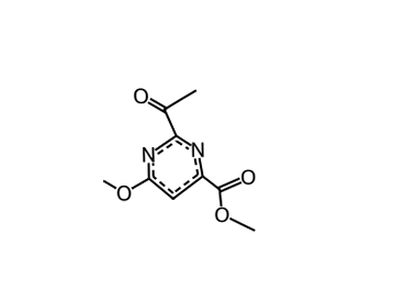 COC(=O)c1cc(OC)nc(C(C)=O)n1